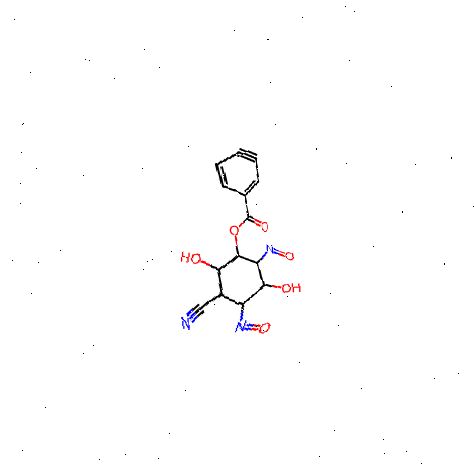 N#CC1C(O)C(OC(=O)c2cc#ccc2)C(N=O)C(O)C1N=O